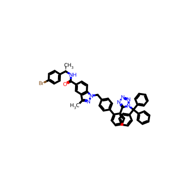 Cc1nn(Cc2ccc(-c3ccccc3-c3nnnn3C(c3ccccc3)(c3ccccc3)c3ccccc3)cc2)c2ccc(C(=O)N[C@@H](C)c3ccc(Br)cc3)cc12